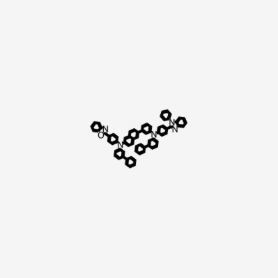 c1ccc(-c2cccc(N(c3ccc(-c4nc5ccccc5n4-c4ccccc4)cc3)c3cccc(-c4ccc5cc(N(c6ccc(-c7nc8ccccc8o7)cc6)c6cccc(-c7ccccc7)c6)ccc5c4)c3)c2)cc1